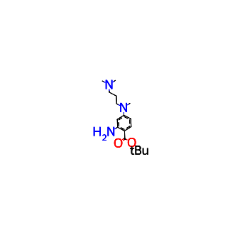 CN(C)CCCN(C)c1ccc(C(=O)OC(C)(C)C)c(N)c1